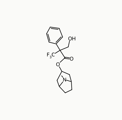 CN1C2CCC1CC(OC(=O)C(CO)(c1ccccc1)C(F)(F)F)C2